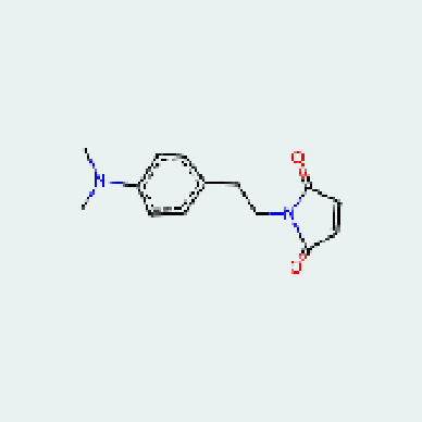 CN(C)c1ccc(CCN2C(=O)C=CC2=O)cc1